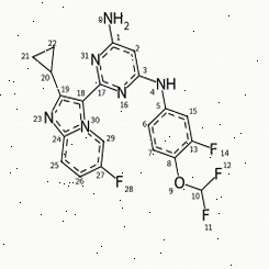 Nc1cc(Nc2ccc(OC(F)F)c(F)c2)nc(-c2c(C3CC3)nc3ccc(F)cn23)n1